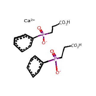 O=C(O)CCP(=O)([O-])c1ccccc1.O=C(O)CCP(=O)([O-])c1ccccc1.[Ca+2]